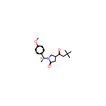 COc1ccc([C@H](C)N2CC(C(=O)CC(C)(C)C)CC2=O)cc1